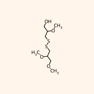 COCC(CSSCC(CO)OC)OC